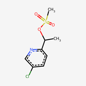 CC(OS(C)(=O)=O)c1ccc(Cl)cn1